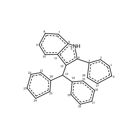 c1ccc(-c2[nH]c3ccccc3c2C(c2ccccc2)c2ccccc2)cc1